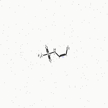 CC/C=C\NS(=O)(=O)C(F)(F)F